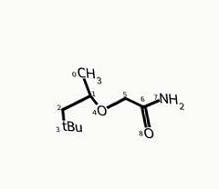 CC(CC(C)(C)C)OCC(N)=O